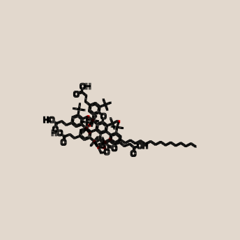 CCCCCCCCCCCCCCCCCCC12CC3(COC1=O)CC2(c1c(-c2c(C(C)(C)C)cc(CCC(=O)O)cc2C(C)(C)C)c(C(C)(C)C)c(Oc2c(C(C)(C)C)cc(CCC(=O)O)cc2C(C)(C)C)c(C(C)(C)Cc2c(C(C)(C)C)cc(CCC(=O)O)cc2C(C)(C)C)c1-c1c(C(C)(C)C)cc(CCC(=O)O)cc1C(C)(C)C)C3